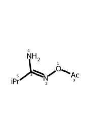 CC(=O)O/N=C(\N)C(C)C